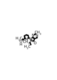 C=CCn1c(=O)c2cnc(C)nc2n1-c1cccc(C(C)(C)O)n1